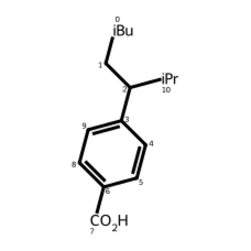 CCC(C)CC(c1ccc(C(=O)O)cc1)C(C)C